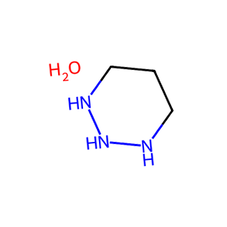 C1CNNNC1.O